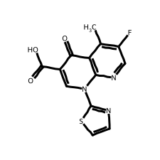 Cc1c(F)cnc2c1c(=O)c(C(=O)O)cn2-c1nccs1